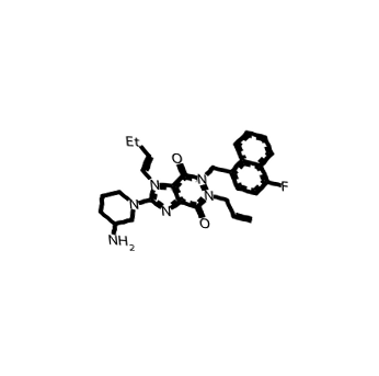 C=CCn1c(=O)c2nc(N3CCCC(N)C3)n(C=CCC)c2c(=O)n1Cc1ccc(F)c2ccccc12